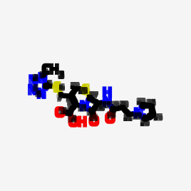 Cn1nnnc1SCC1=C(C(=O)O)N2C(=O)C(NC(=O)CCn3cccc3)C2SC1